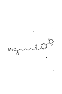 COC(=O)CCCCCCNCc1ccc(-c2nccs2)cc1